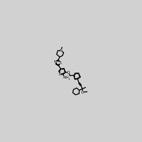 COC(C)(C#Cc1cccc(COc2cc(-c3cnc(C4CCN(C)CC4)s3)cnc2N)c1)C1CCCCC1